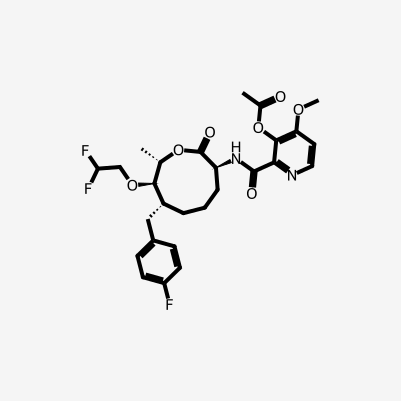 COc1ccnc(C(=O)N[C@H]2CCC[C@H](Cc3ccc(F)cc3)[C@@H](OCC(F)F)[C@H](C)OC2=O)c1OC(C)=O